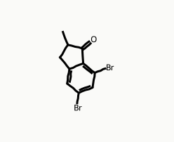 CC1Cc2cc(Br)cc(Br)c2C1=O